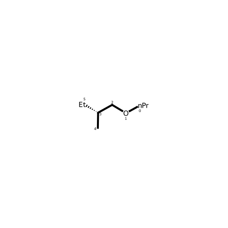 CCCOC[C@H](C)CC